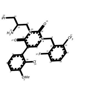 COc1cccc(-c2cn(Cc3c(F)cccc3C(F)(F)F)c(=O)n(CC(N)CC(C)C)c2=O)c1Cl